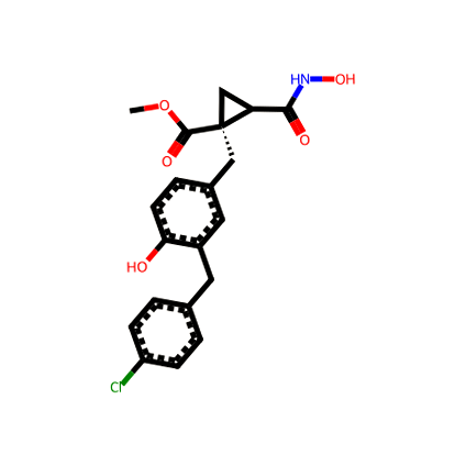 COC(=O)[C@@]1(Cc2ccc(O)c(Cc3ccc(Cl)cc3)c2)CC1C(=O)NO